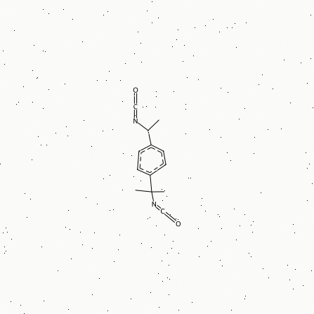 CC(N=C=O)c1ccc(C(C)(C)N=C=O)cc1